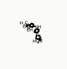 Cn1c(=O)n(C)c2cc(Nc3ccc(N4CCC(O)(C(F)(F)F)CC4)cc3)ccc21